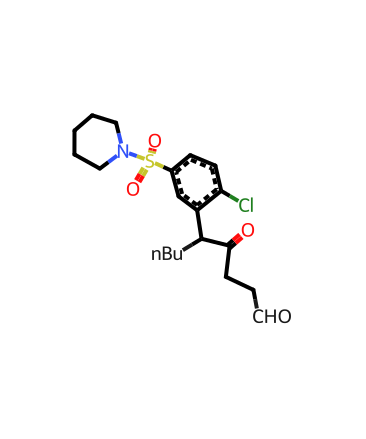 CCCCC(C(=O)CCC=O)c1cc(S(=O)(=O)N2CCCCC2)ccc1Cl